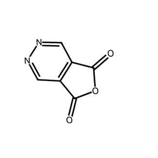 O=C1OC(=O)c2cnncc21